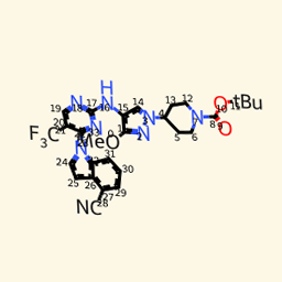 COc1nn(C2CCN(C(=O)OC(C)(C)C)CC2)cc1Nc1ncc(C(F)(F)F)c(-n2ccc3c(C#N)cccc32)n1